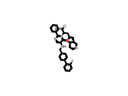 NC(=O)C(Cc1cc2cnccc2[nH]1)n1c(-c2ccccc2)ncc(NCc2ccc(-c3ccccc3F)cc2)c1=O